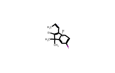 C/C=C\C1=C(CC)C(C)(C)C2=CC(I)=CC[C@@H]21